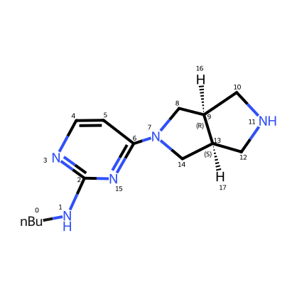 CCCCNc1nccc(N2C[C@H]3CNC[C@H]3C2)n1